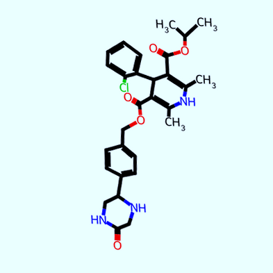 CC1=C(C(=O)OCc2ccc(C3CNC(=O)CN3)cc2)C(c2ccccc2Cl)C(C(=O)OC(C)C)=C(C)N1